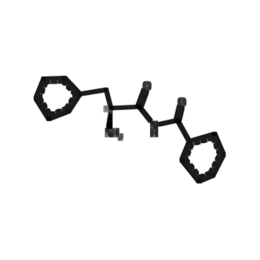 N[C@@H](Cc1ccccc1)C(=O)NC(=O)c1ccccc1